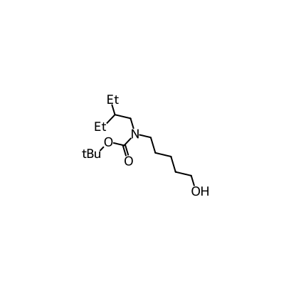 CCC(CC)CN(CCCCCO)C(=O)OC(C)(C)C